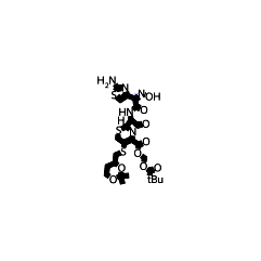 CC1(C)OCCC(CSC2=C(C(=O)OCOC(=O)C(C)(C)C)N3C(=O)C(NC(=O)/C(=N\O)c4csc(N)n4)[C@H]3SC2)O1